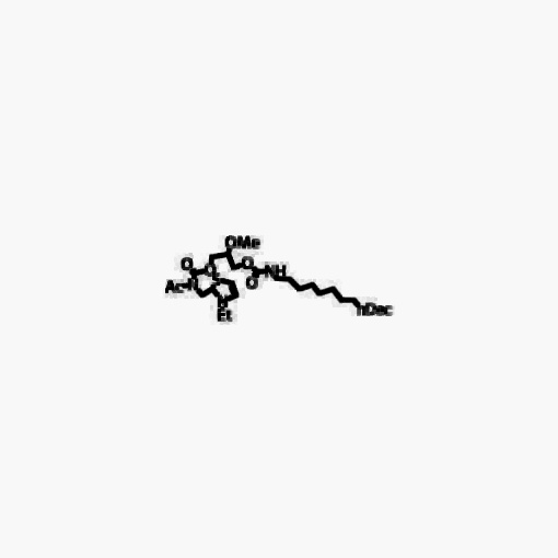 CCCCCCCCCCCCCCCCCCNC(=O)OCC(COC(=O)N(CC1SC=CN1CC)C(C)=O)OC